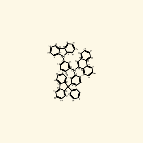 c1ccc(C2(c3cccc(N(c4cccc(-n5c6ccccc6c6ccccc65)c4)c4cc5ccccc5c5ccccc45)c3)c3ccccc3-c3ccccc32)cc1